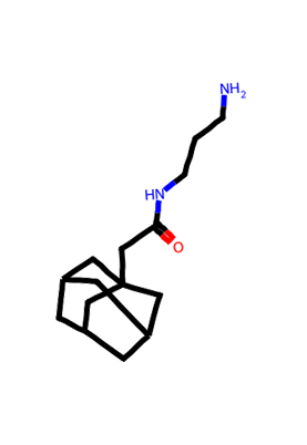 NCCCNC(=O)CC12CC3CC(CC(C3)C1)C2